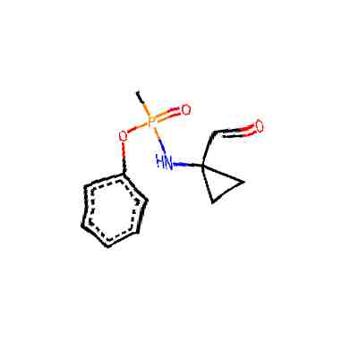 CP(=O)(NC1(C=O)CC1)Oc1ccccc1